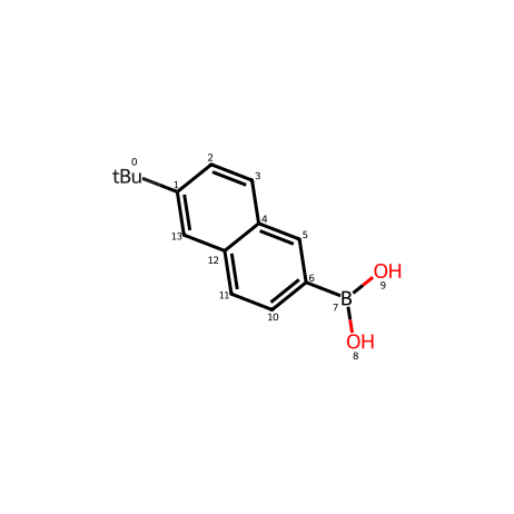 CC(C)(C)c1ccc2cc(B(O)O)ccc2c1